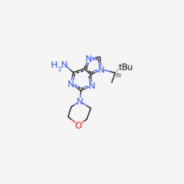 C[C@H](n1cnc2c(N)nc(N3CCOCC3)nc21)C(C)(C)C